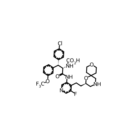 O=C(O)N[C@H](C(=O)Nc1cncc(F)c1CC[C@@H]1CNCC2(CCOCC2)O1)[C@@H](c1ccc(Cl)cc1)c1cccc(OC(F)(F)F)c1